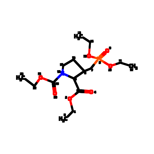 CCOC(=O)C1C(CP(=O)(OCC)OCC)CCN1C(=O)OCC